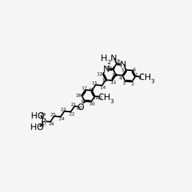 Cc1ccc2c(c1)nc(N)c1ncc(CCc3ccc(OCCCCCCP(O)O)cc3C)cc12